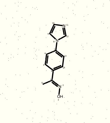 CC(=NO)c1ccc(-n2ccnc2)cc1